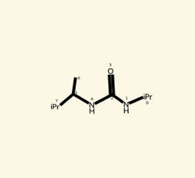 CC(C)NC(=O)NC(C)C(C)C